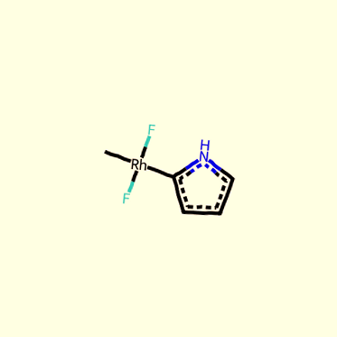 [CH3][Rh]([F])([F])[c]1ccc[nH]1